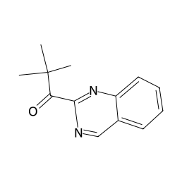 CC(C)(C)C(=O)c1ncc2ccccc2n1